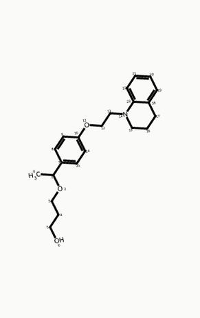 CC(OCCCO)c1ccc(OCCN2CCCc3ccccc32)cc1